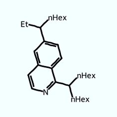 CCCCCCC(CC)c1ccc2c(C(CCCCCC)CCCCCC)nccc2c1